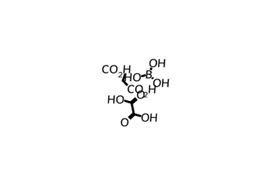 O=C(O)C(=O)O.O=C(O)CC(=O)O.OB(O)O